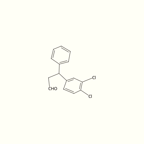 O=CCC(c1ccccc1)c1ccc(Cl)c(Cl)c1